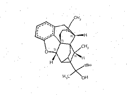 C[C@@H]1CC2C(C(C)(O)C(C)(C)C)CC13[C@H]1Cc4cccc5c4[C@@]3(CCN1C)[C@H]2O5